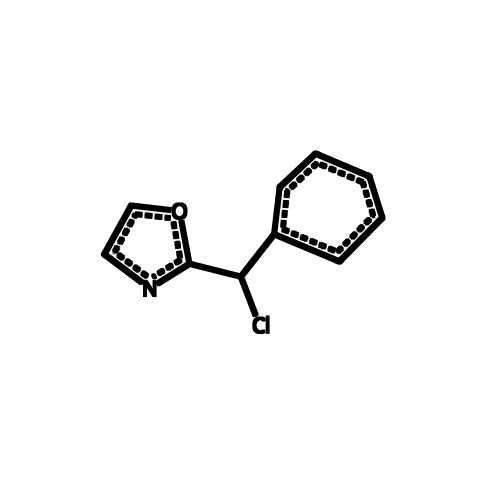 ClC(c1ccccc1)c1ncco1